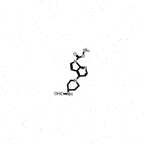 CC(C)(C)OC(=O)n1ccc2c(N3CCC(NC=O)CC3)ccnc21